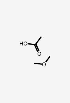 CC(=O)O.COC